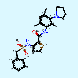 Cc1cc(C)c(N2CCCC2)c(C)c1NC(=O)c1sccc1NS(=O)(=O)Cc1ccccc1